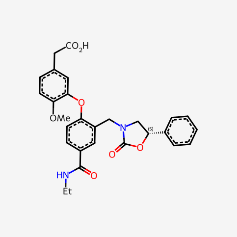 CCNC(=O)c1ccc(Oc2cc(CC(=O)O)ccc2OC)c(CN2C[C@H](c3ccccc3)OC2=O)c1